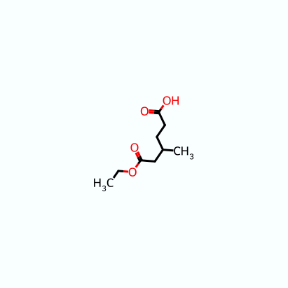 CCOC(=O)CC(C)CCC(=O)O